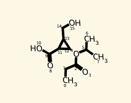 CCC(=O)OC(C)C.O=C(O)C1CC1CO